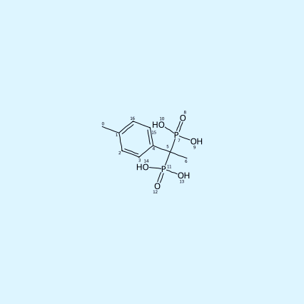 Cc1ccc(C(C)(P(=O)(O)O)P(=O)(O)O)cc1